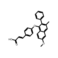 COc1ccc2c(Oc3ccc(C=CC(=O)O)cc3)c(-c3ccccc3)c(C)cc2c1